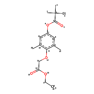 CCC(C)(C)C(=O)Oc1cc(C)c(OCC(=O)OCC(F)(F)F)c(C)c1